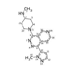 CNC1CCN(c2nnc(-c3ccnn3C)c3ccncc23)CC1